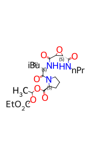 CCCNC(=O)[C@H]1OC1C(=O)N[C@H](C(=O)N1CCC[C@H]1C(=O)OC(C)OC(=O)OCC)[C@@H](C)CC